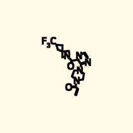 C=CC(=O)N1CCN(c2nccnc2C(=O)N2CC3(CC(C(F)(F)F)C3)C2)CC1